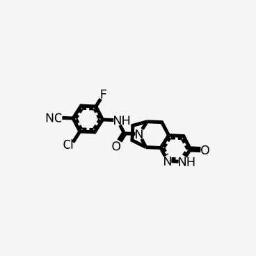 N#Cc1cc(F)c(NC(=O)N2C3CCC2c2n[nH]c(=O)cc2C3)cc1Cl